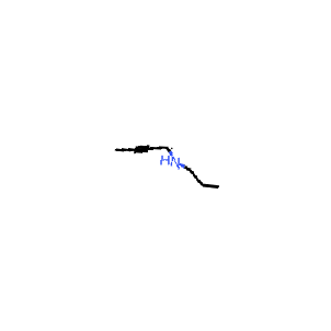 CC#C[CH]NCCC